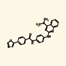 CN(C)c1nc(Nc2ccc(NC(=O)c3ccc(-c4cnco4)cc3)cc2)nc2ccccc12